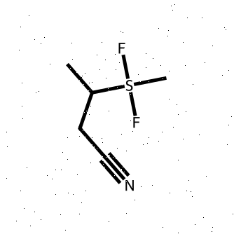 CC(CC#N)S(C)(F)F